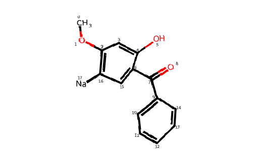 COc1cc(O)c(C(=O)c2ccccc2)c[c]1[Na]